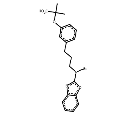 CCN(CCCc1cccc(OC(C)(C)C(=O)O)c1)c1nc2ccccc2o1